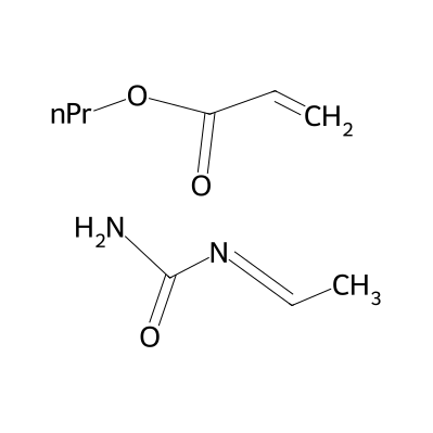 C=CC(=O)OCCC.CC=NC(N)=O